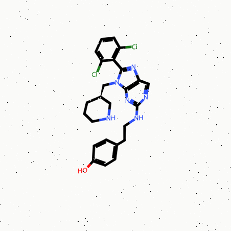 Oc1ccc(CCNc2ncc3nc(-c4c(Cl)cccc4Cl)n(C[C@@H]4CCCNC4)c3n2)cc1